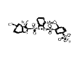 COc1ccc(S(=O)(=O)C(F)(F)F)cc1S(=O)(=O)Nc1ccccc1NS(=O)(=O)c1sc2c(c1C)C=C(Cl)CC2